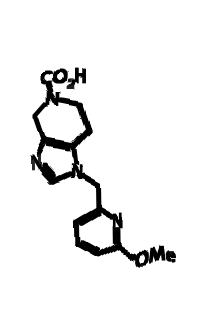 COc1cccc(Cn2cnc3c2CCN(C(=O)O)C3)n1